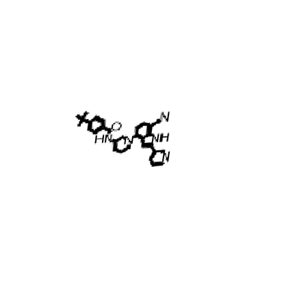 CC(C)(C)c1ccc(C(=O)NC2CCCN(c3ccc(C#N)c4[nH]c(-c5cccnc5)cc34)C2)cc1